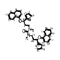 CN(CCC(Oc1cccc2ccccc12)c1cccs1)C(=O)N(C)CCC(Oc1cccc2ccccc12)c1cccs1